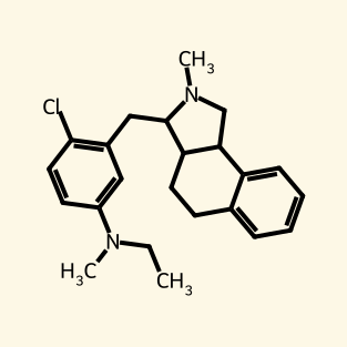 CCN(C)c1ccc(Cl)c(CC2C3CCc4ccccc4C3CN2C)c1